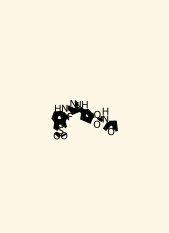 O=C(NC1CCOC1)OC1CCC(c2cc(Nc3ccc4c(c3F)CS(=O)(=O)C4)n[nH]2)C1